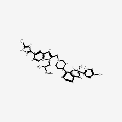 COC(C)Cn1c(CN2CCC(c3cccc4c3O[C@@](C)(c3ccc(Cl)cn3)O4)CC2)nc2cc(-c3noc(C(F)(F)F)n3)ncc21